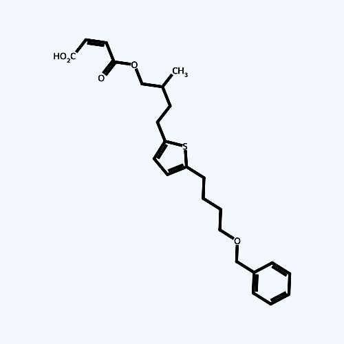 CC(CCc1ccc(CCCCOCc2ccccc2)s1)COC(=O)/C=C\C(=O)O